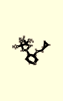 CC1(C)ON(c2ccncc2OCC2CC2)OC1(C)C